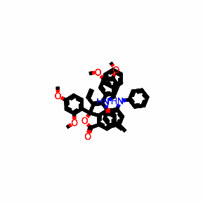 C=CC(=C(c1ccc(OC)c(OC)c1)c1ccc(C)cc1Nc1ccccc1)C1(c2ccc(OC)cc2OC)OC(=O)c2cc(C)cc(NCc3ccccc3)c21